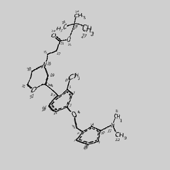 Cc1cc(OCc2cccc(N(C)C)c2)ccc1C1CN(CCC(=O)OC(C)(C)C)CCO1